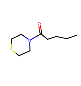 [CH2]CCCC(=O)N1CCSCC1